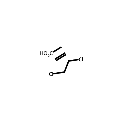 C=C.CC(=O)O.ClCCCl